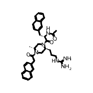 CC(=O)N[C@@H](Cc1ccc2ccccc2c1)C(=O)N1C[C@@H](C)N(C(=O)Cc2ccc3ccccc3c2)C[C@@H]1CCCNC(=N)N